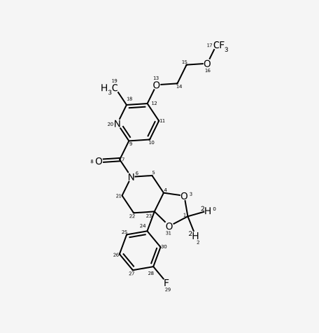 [2H]C1([2H])OC2CN(C(=O)c3ccc(OCCOC(F)(F)F)c(C)n3)CCC2(c2cccc(F)c2)O1